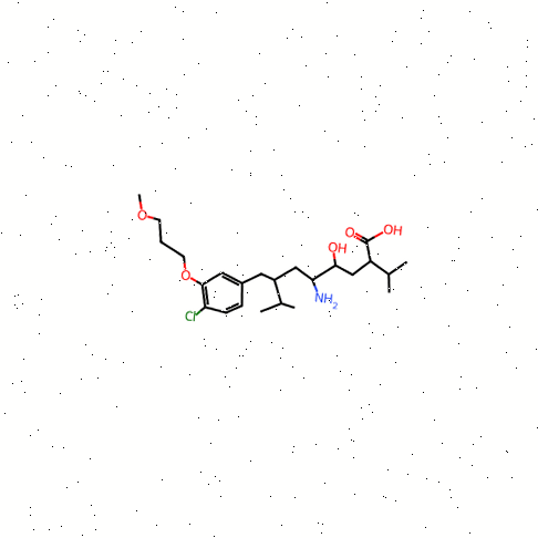 COCCCOc1cc(CC(CC(N)C(O)CC(C(=O)O)C(C)C)C(C)C)ccc1Cl